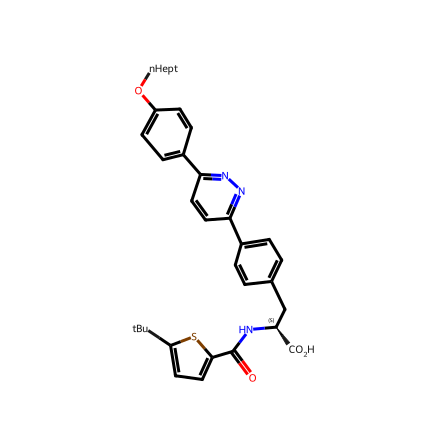 CCCCCCCOc1ccc(-c2ccc(-c3ccc(C[C@H](NC(=O)c4ccc(C(C)(C)C)s4)C(=O)O)cc3)nn2)cc1